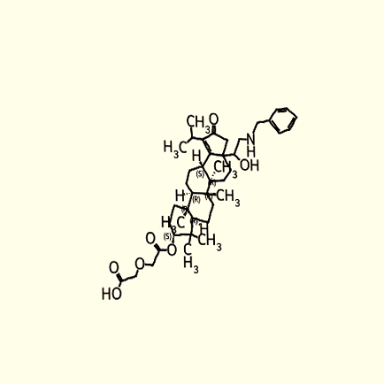 CC(C)C1=C2[C@H]3CC[C@@H]4[C@@]5(C)CC[C@H](OC(=O)COCC(=O)O)C(C)(C)[C@@H]5CC[C@@]4(C)[C@]3(C)CCC2(C(O)CNCc2ccccc2)CC1=O